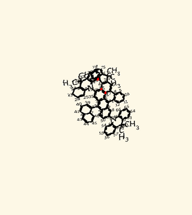 CC1(C)C2=C(CCC(c3ccccc3-c3c4ccc(N5C6=C(CCC=C6)C(C)(C)c6ccccc65)cc4c(C4=CC=CC5C=CC=CC45)c4ccc(N5c6ccccc6C(C)(C)c6ccccc65)cc34)=C2)c2ccccc21